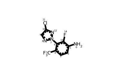 Nc1ccc(C(F)(F)F)c(-n2ncc(Cl)n2)c1F